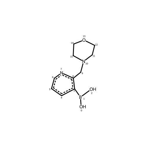 OB(O)c1cccnc1CN1CCOCC1